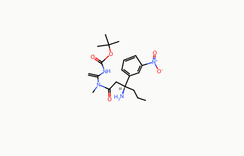 C=C(NC(=O)OC(C)(C)C)N(C)C(=O)C[C@@](N)(CCC)c1cccc([N+](=O)[O-])c1